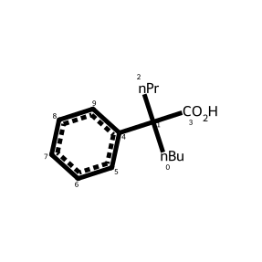 CCCCC(CCC)(C(=O)O)c1ccccc1